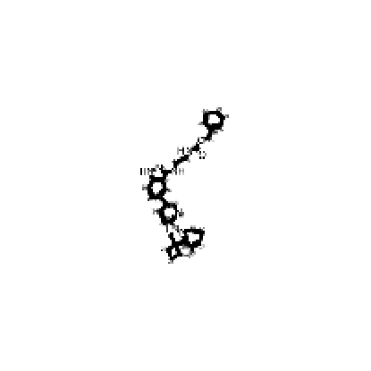 O=C(NCCNc1n[nH]c2ccc(-c3ccc(NCC4(c5ncccc5F)CCC4)nn3)cc12)OCc1ccccc1